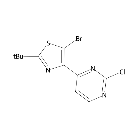 CC(C)(C)c1nc(-c2ccnc(Cl)n2)c(Br)s1